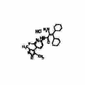 Cc1n[nH]c(C)c1-c1ccc(NC(=O)C(N)=C(C2CCCCC2)C2CCCCC2)nc1F.Cl